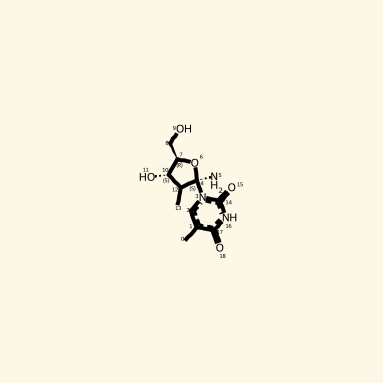 Cc1cn([C@]2(N)O[C@H](CO)[C@@H](O)C2C)c(=O)[nH]c1=O